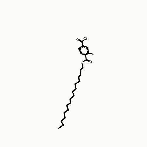 CCCCCCCCCCCCCCCCCCOC(=O)c1ccc(C(=O)O)cc1C